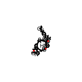 C=CC(=O)N1CC2(CCN(C(=O)N(C)[C@H](C(=O)N[C@H]3Cc4nc(cs4)-c4ccc5c(c4)c(c(-c4cccnc4[C@H](C)OC)n5CC)CC(C)(C)COCC4(C=O)CCCN(N4)C3=O)C(C)C)CC2)C1